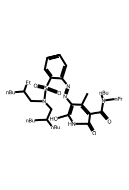 CCCCC(CC)CN(CC(CCCC)CCCC)S(=O)(=O)c1ccccc1/N=N/c1c(O)[nH]c(=O)c(C(=O)N(CCC)CCCC)c1C